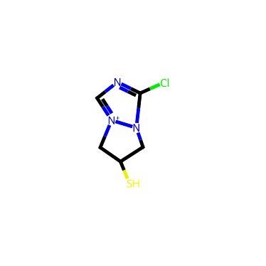 SC1Cn2c(Cl)nc[n+]2C1